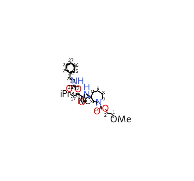 COCCOC(=O)N1CCCCC(C#N)(NC(=O)C(CC(C)C)OC(=O)NCc2ccccc2)C1